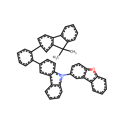 CC1(C)c2ccccc2-c2ccc(-c3ccccc3-c3ccc4c(c3)c3ccccc3n4-c3ccc4oc5ccccc5c4c3)cc21